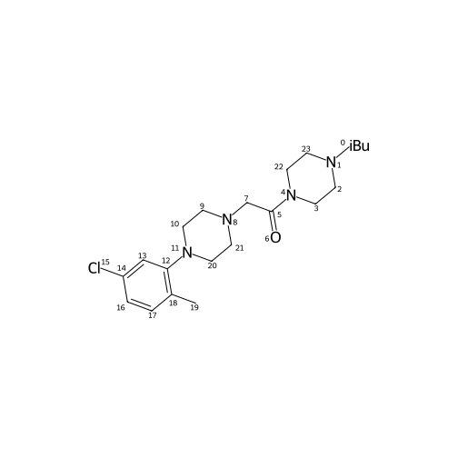 CCC(C)N1CCN(C(=O)CN2CCN(c3cc(Cl)ccc3C)CC2)CC1